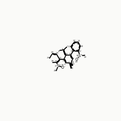 C=C/C=C(C(=C(C)C)/C(=C\C=C)c1ccccc1[S+](C)[O-])/C(/C=C\C)=C(/C)[S+](C)[O-]